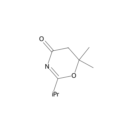 CC(C)C1=NC(=O)CC(C)(C)O1